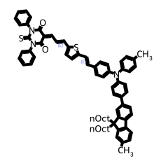 CCCCCCCCC1(CCCCCCCC)c2cc(C)ccc2-c2ccc(-c3ccc(N(c4ccc(C)cc4)c4ccc(/C=C/c5ccc(/C=C/C=C6C(=O)N(c7ccccc7)C(=S)N(c7ccccc7)C6=O)s5)cc4)cc3)cc21